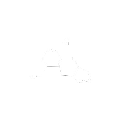 CC(C)(C)Oc1ccccc1CC1=[C]([Ti])CC=C1.Cl.Cl